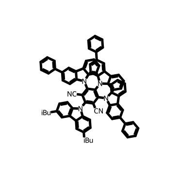 CCC(C)c1ccc2c(c1)c1cc(C(C)CC)ccc1n2-c1c(C#N)c(-n2c3ccccc3c3cc(-c4ccccc4)ccc32)c(-n2c3ccccc3c3cc(-c4ccccc4)ccc32)c(-n2c3ccccc3c3cc(-c4ccccc4)ccc32)c1C#N